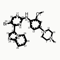 COc1cc(N2CCN(C)CC2)ccc1Nc1ncc(Br)c(-c2cnc3ccccn23)n1